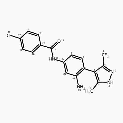 Cc1[nH]nc(C(F)(F)F)c1-c1ccc(NC(=O)c2ccc(Cl)cc2)cc1N